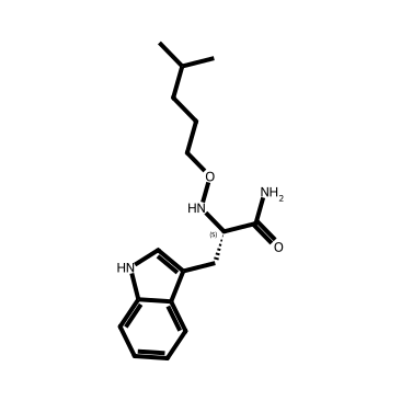 CC(C)CCCON[C@@H](Cc1c[nH]c2ccccc12)C(N)=O